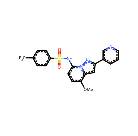 COc1ccc(NS(=O)(=O)c2ccc(C(F)(F)F)cc2)n2nc(-c3cccnc3)cc12